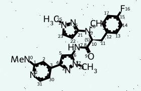 CNc1cc(-c2cc(NC(=O)[C@H](Cc3ccc(F)cc3)N(C)c3ccn(C)n3)n(C)n2)ccn1